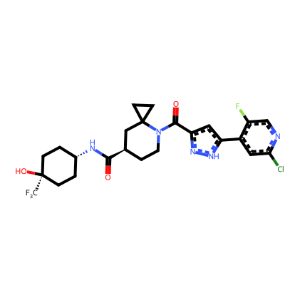 O=C(N[C@H]1CC[C@@](O)(C(F)(F)F)CC1)[C@@H]1CCN(C(=O)c2cc(-c3cc(Cl)ncc3F)[nH]n2)C2(CC2)C1